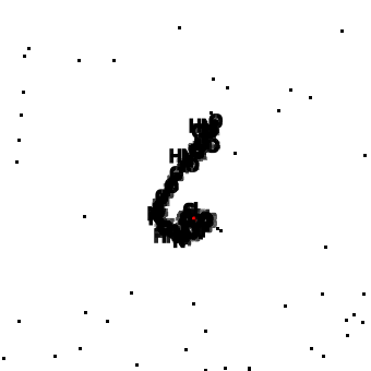 O=C1CCC(N2Cc3cc(NC(=O)CCOCCOCCOCCn4cc(-c5ccc(Nc6ncc7c(n6)-c6ccc(Cl)cc6C(c6c(F)cccc6F)=NC7)cc5)nn4)ccc3C2=O)C(=O)N1